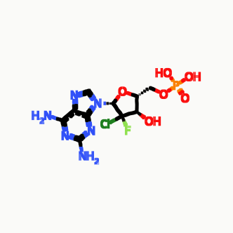 Nc1nc(N)c2ncn([C@@H]3O[C@H](COP(=O)(O)O)[C@@H](O)[C@]3(F)Cl)c2n1